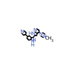 CN1CCN(c2ccnc3[nH]c(-c4n[nH]c5ccc(-c6ccncc6)cc45)cc23)CC1